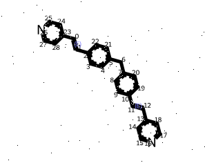 C(=C\c1ccc(Cc2ccc(/C=C/c3ccncc3)cc2)cc1)/c1ccncc1